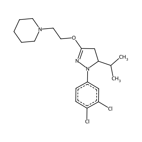 CC(C)C1CC(OCCN2CCCCC2)=NN1c1ccc(Cl)c(Cl)c1